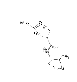 COC(=O)NC(CC(C)C)C(=O)NC1CCOC1O